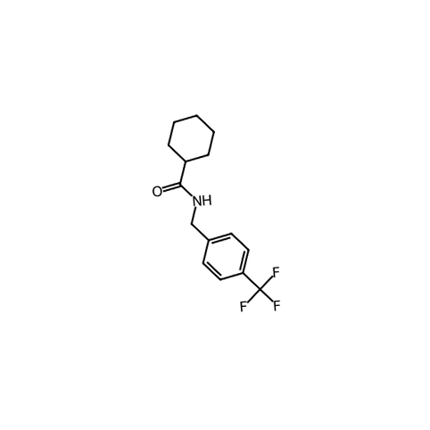 O=C(NCc1ccc(C(F)(F)F)cc1)C1CCCCC1